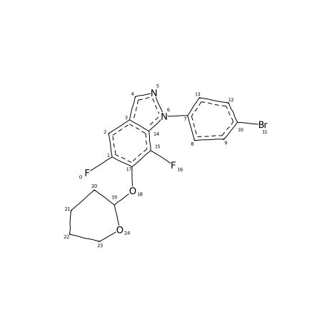 Fc1cc2cnn(-c3ccc(Br)cc3)c2c(F)c1OC1CCCCO1